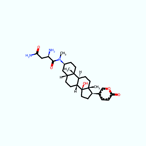 CN(C(=O)[C@H](N)CC(N)=O)[C@H]1CC[C@@]2(C)[C@H](CC[C@@H]3[C@@H]2CC[C@]2(C)[C@@H](c4ccc(=O)oc4)CC[C@]32O)C1